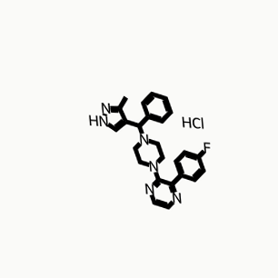 Cc1n[nH]cc1C(c1ccccc1)N1CCN(c2nccnc2-c2ccc(F)cc2)CC1.Cl